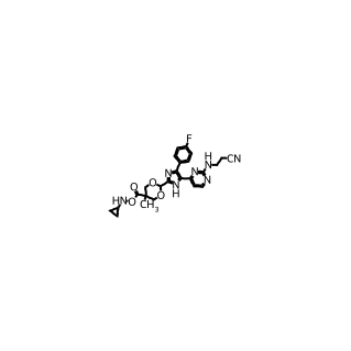 CC1(C(=O)ONC2CC2)COC(c2nc(-c3ccc(F)cc3)c(-c3ccnc(NCCC#N)n3)[nH]2)OC1